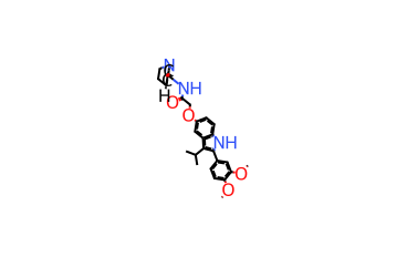 COc1ccc(-c2[nH]c3ccc(OCC(=O)NC4C[N@]5CC[C@H]4CC5)cc3c2C(C)C)cc1OC